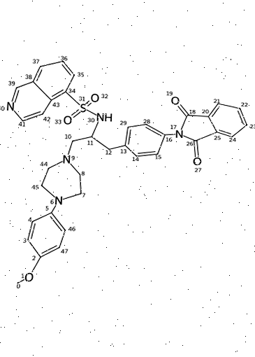 COc1ccc(N2CCN(CC(Cc3ccc(N4C(=O)c5ccccc5C4=O)cc3)NS(=O)(=O)c3cccc4cnccc34)CC2)cc1